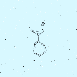 [O-][S@@+](CBr)c1ccccc1